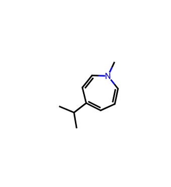 CC(C)C1=CC=CN(C)C=C1